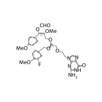 CO/C(COP(COCCn1cnc2c(=O)[nH]c(N)nc21)OCc1ccc(OC)c(F)c1)=C(\OC=O)c1ccc(OC)cc1